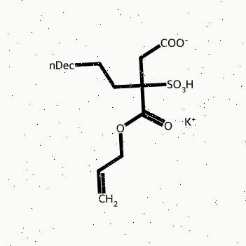 C=CCOC(=O)C(CCCCCCCCCCCC)(CC(=O)[O-])S(=O)(=O)O.[K+]